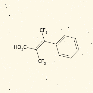 O=C(O)C(=C(c1ccccc1)C(F)(F)F)C(F)(F)F